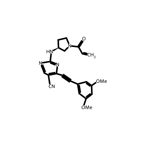 C=CC(=O)N1CC[C@H](Nc2ncc(C#N)c(C#Cc3cc(OC)cc(OC)c3)n2)C1